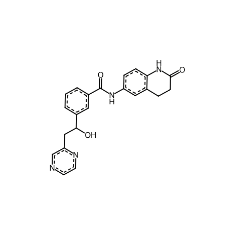 O=C1CCc2cc(NC(=O)c3cccc(C(O)Cc4cnccn4)c3)ccc2N1